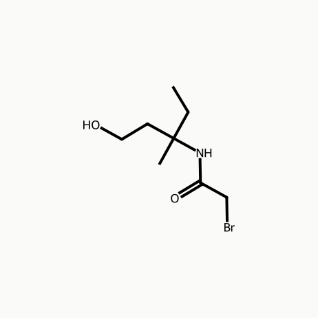 CCC(C)(CCO)NC(=O)CBr